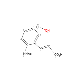 CC(=O)Nc1ccccc1/C=C/C(=O)O.CO